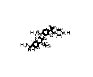 CN1CCN(C(=O)C2(c3ccc4c(c3)nc(Cc3ccc(C(=N)N)cc3)c(=O)n4C)CC2)CC1.Cl.Cl